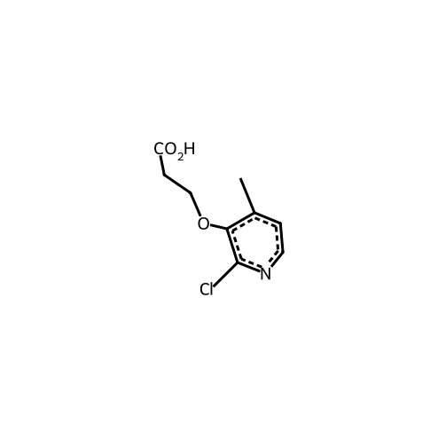 Cc1ccnc(Cl)c1OCCC(=O)O